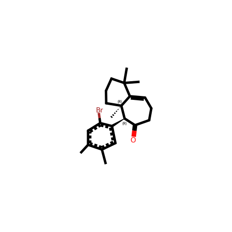 Cc1cc(Br)c([C@@H]2C(=O)CCC=C3C(C)(C)CCC[C@@]32C)cc1C